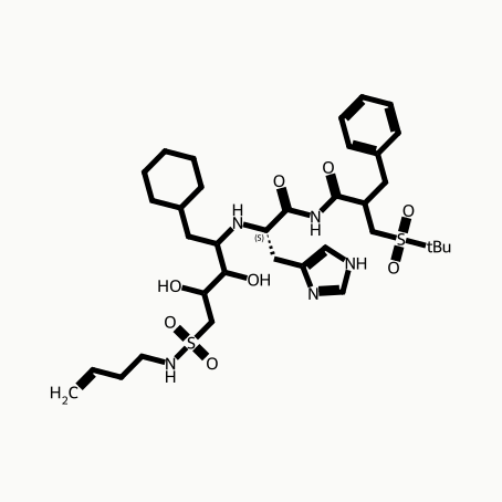 C=CCCNS(=O)(=O)CC(O)C(O)C(CC1CCCCC1)N[C@@H](Cc1c[nH]cn1)C(=O)NC(=O)C(Cc1ccccc1)CS(=O)(=O)C(C)(C)C